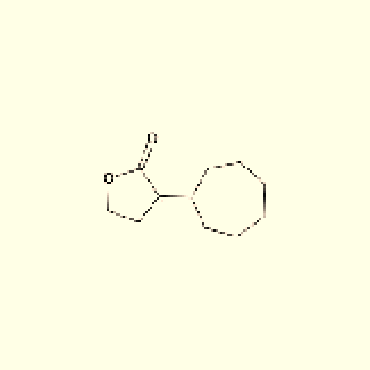 O=C1OCCC1=C1CCCCCC1